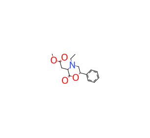 CCN1CC(c2ccccc2)OC(=O)C1CC(=O)OC